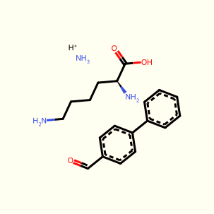 N.NCCCC[C@H](N)C(=O)O.O=Cc1ccc(-c2ccccc2)cc1.[H+]